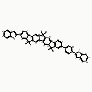 CC1(C)c2cc(-c3ccc(-c4cc5ccccc5o4)cc3)ccc2-c2cc3c(cc21)-c1cc2c(cc1C3(C)C)-c1ccc(-c3cc4ccccc4o3)cc1C2(C)C